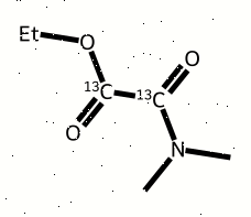 CCO[13C](=O)[13C](=O)N(C)C